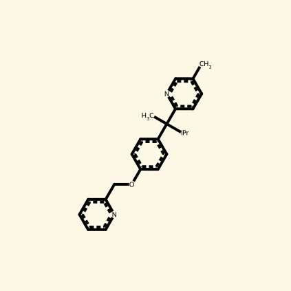 Cc1ccc(C(C)(c2ccc(OCc3ccccn3)cc2)C(C)C)nc1